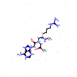 CN[C@@H](CCCCNC(=N)N)CN(CC(C)=O)C(=O)Cn1cnc2c(N)ncnc21